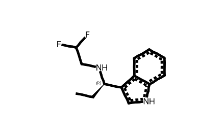 CC[C@@H](NCC(F)F)c1c[nH]c2ccccc12